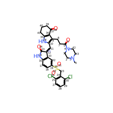 CN1CCN(C(=O)CCc2c(/C=C3\C(=O)Nc4ccc(S(=O)(=O)Cc5c(Cl)cccc5Cl)cc43)[nH]c3c2C(=O)CCC3)CC1